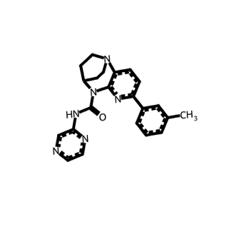 Cc1cccc(-c2ccc3c(n2)N(C(=O)Nc2cnccn2)C2CCN3CC2)c1